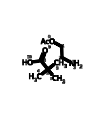 CC(=O)OCCN.CC(C)(C)C(=O)O